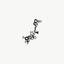 O=C(Cc1cc(F)cc(C(F)(F)F)c1)N[C@@H](CCN(CCCCc1ccc2c(n1)NCCC2)C1CC1)C(=O)O